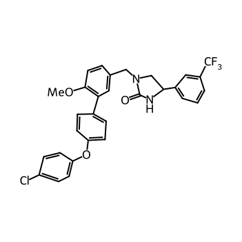 COc1ccc(CN2CC(c3cccc(C(F)(F)F)c3)NC2=O)cc1-c1ccc(Oc2ccc(Cl)cc2)cc1